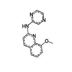 COc1cccc2ccc(Nc3cnccn3)nc12